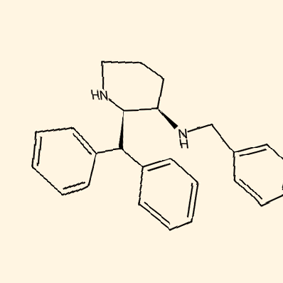 c1ccc(CN[C@@H]2CCCN[C@@H]2C(c2ccccc2)c2ccccc2)cc1